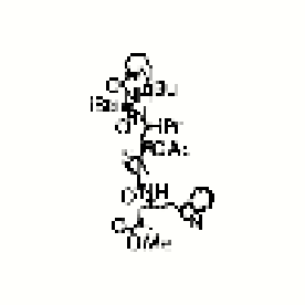 CCCCN1CCCC[C@@H]1C(=O)N[C@H](C(=O)N(C)[C@H](C[C@@H](OC(C)=O)c1nc(C(=O)N[C@@H](CCc2cn(C)c3ccccc23)C[C@H](C)C(=O)OC)cs1)C(C)C)[C@@H](C)CC